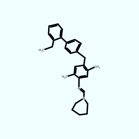 CCc1ccccc1-c1ccc(Cc2cc(C)c(/N=C/N3CCCCC3)cc2C)cc1